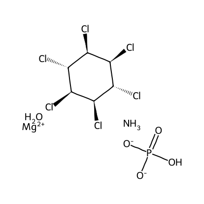 Cl[C@H]1[C@H](Cl)[C@@H](Cl)[C@@H](Cl)[C@H](Cl)[C@H]1Cl.N.O.O=P([O-])([O-])O.[Mg+2]